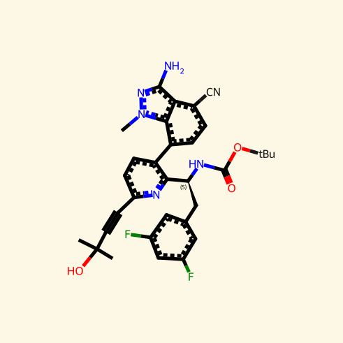 Cn1nc(N)c2c(C#N)ccc(-c3ccc(C#CC(C)(C)O)nc3[C@H](Cc3cc(F)cc(F)c3)NC(=O)OC(C)(C)C)c21